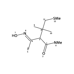 CNC(=O)C(C(F)=NO)C(C)(C)CSC